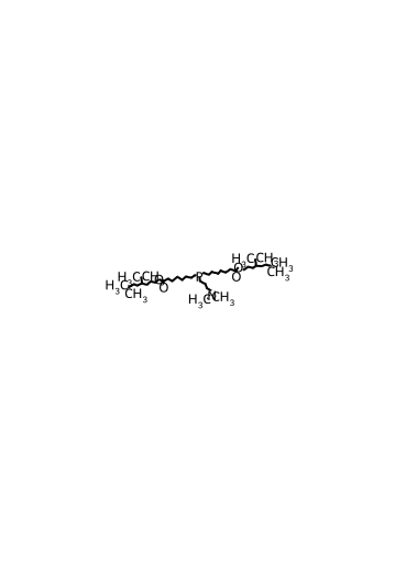 CC(C)CCC(CCCOC(=O)CCCCCCCP(CCCCCCCC(=O)OCCCC(CCC(C)C)C(C)C)CCCCN(C)C)C(C)C